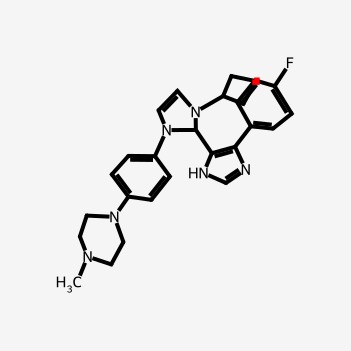 CN1CCN(c2ccc(N3C=CN(C4CCC4)C3c3[nH]cnc3-c3ccc(F)cc3)cc2)CC1